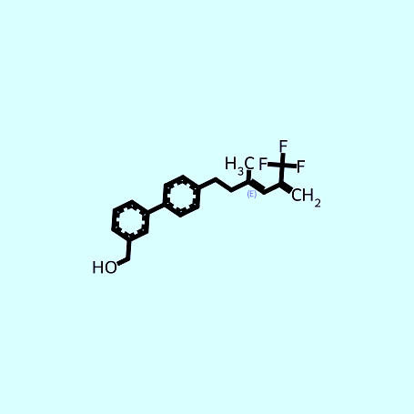 C=C(/C=C(\C)CCc1ccc(-c2cccc(CO)c2)cc1)C(F)(F)F